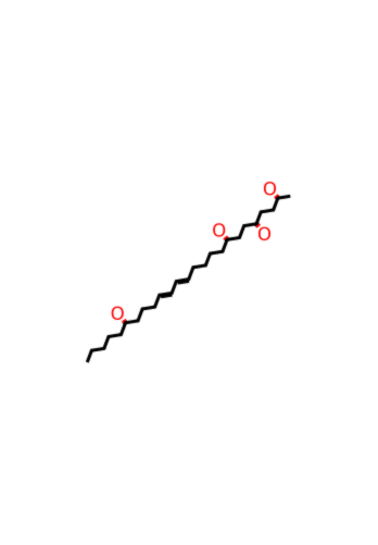 CCCCCC(=O)CCCC=CC=CCCCCC(=O)CCC(=O)CCC(C)=O